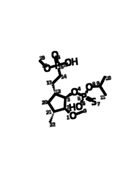 CO[C@@H]1[C@H](OP(O)(=S)OC(C)C)[C@@H](CCP(=O)(O)OC)C[C@H]1C